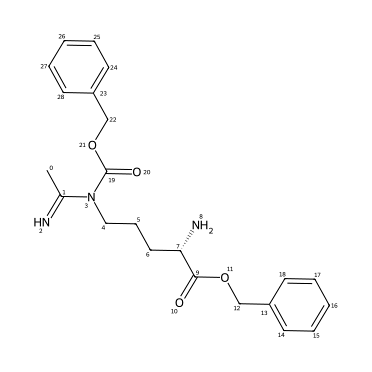 CC(=N)N(CCC[C@H](N)C(=O)OCc1ccccc1)C(=O)OCc1ccccc1